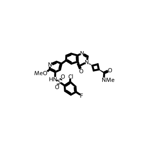 CNC(=O)[C@H]1C[C@H](n2cnc3ccc(-c4cnc(OC)c(NS(=O)(=O)c5ccc(F)cc5Cl)c4)cc3c2=O)C1